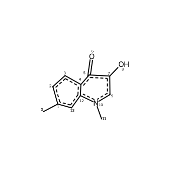 Cc1ccc2c(=O)c(O)cn(C)c2c1